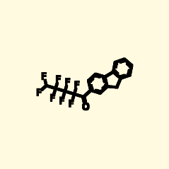 O=C(c1ccc2c(c1)Cc1ccccc1-2)C(F)(F)C(F)(F)C(F)(F)C(F)F